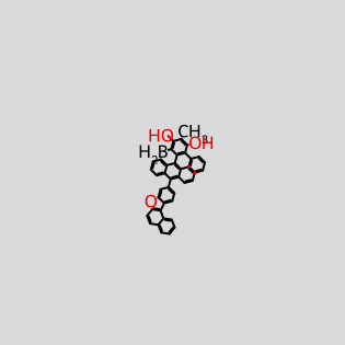 Bc1c(O)c(C)c(O)c(-c2ccccc2)c1-c1c2ccccc2c(-c2ccc3c(c2)oc2ccc4ccccc4c23)c2ccccc12